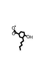 CCCCCC1CC(C2OC2OC)CCC1O